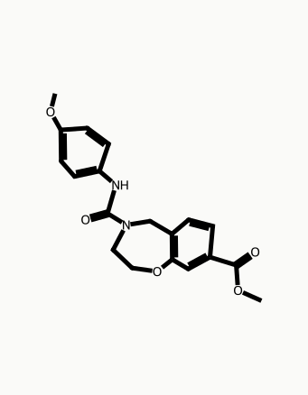 COC(=O)c1ccc2c(c1)OCCN(C(=O)Nc1ccc(OC)cc1)C2